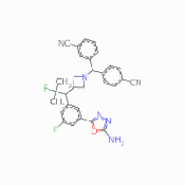 CC(C)(F)C(c1cc(F)cc(-c2nnc(N)o2)c1)C1CN(C(c2ccc(C#N)cc2)c2cccc(C#N)c2)C1